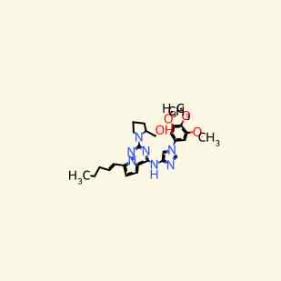 CCCC=Cc1ccc2c(Nc3cn(-c4cc(OC)c(OC)c(OC)c4)cn3)nc(N3CCCC3CO)nn12